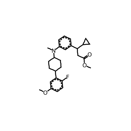 COC(=O)CC(c1cccc(N(C)C2CCC(c3cc(OC)ccc3F)CC2)c1)C1CC1